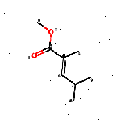 COC(=O)/C(C)=C/C(C)C